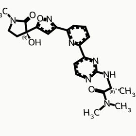 C[C@@H](Nc1nccc(-c2cccc(-c3cc([C@]4(O)CCN(C)C4=O)on3)n2)n1)C(=O)N(C)C